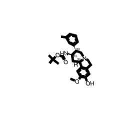 COc1cc2c(cc1O)CCN1C[C@@H](c3cccc(C)c3)[C@H](NC(=O)OC(C)(C)C)C[C@H]21